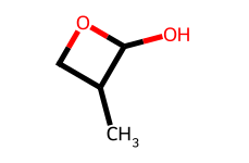 CC1COC1O